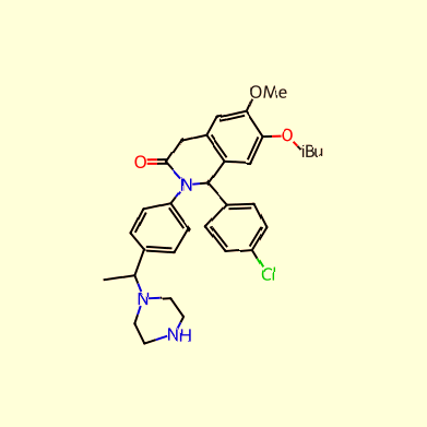 CCC(C)Oc1cc2c(cc1OC)CC(=O)N(c1ccc(C(C)N3CCNCC3)cc1)C2c1ccc(Cl)cc1